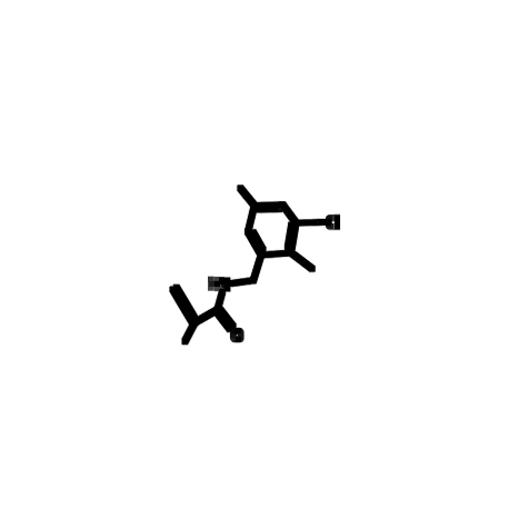 C=C(C)C(=O)NCc1cc(C)cc(Cl)c1C